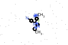 C[C@@H]1CCCN(c2nccn3c(-c4cc5nnn(C)c5cc4F)c(-c4ccc(C#N)cc4)nc23)C1